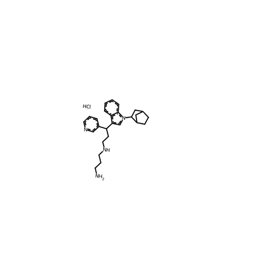 Cl.NCCCNCCC(c1cccnc1)c1cn(C2CC3CCC2C3)c2ccccc12